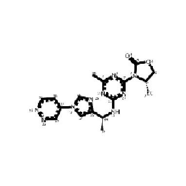 CC[C@H]1COC(=O)N1c1nc(C)nc(N[C@@H](C)c2cn(-c3ccnnc3)cn2)n1